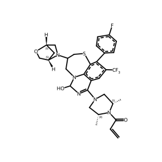 C=CC(=O)N1[C@H](C)CN(C2=NC(O)N3CC(N4C[C@@H]5C[C@H]4CO5)CSc4c(-c5ccc(F)cc5)c(C(F)(F)F)cc2c43)C[C@@H]1C